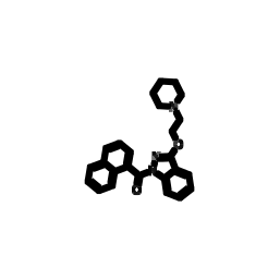 O=C(c1cccc2ccccc12)n1nc(OCCN2CCCCC2)c2ccccc21